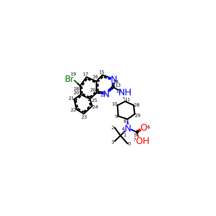 CC(C)(C)N(C(=O)O)[C@H]1CC[C@H](Nc2ncc3cc(Br)c4ccccc4c3n2)CC1